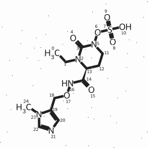 CCN1C(=O)N(OS(=O)(=O)O)CC[C@H]1C(=O)NOCc1cncn1C